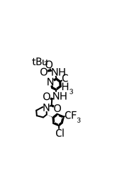 Cc1cc(NC(=O)C(=O)N2CCCC[C@H]2c2cc(Cl)cc(C(F)(F)F)c2)cnc1NC(=O)OC(C)(C)C